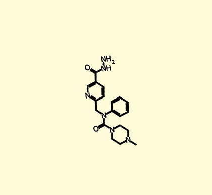 CN1CCN(C(=O)N(Cc2ccc(C(=O)NN)cn2)c2ccccc2)CC1